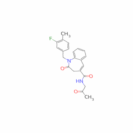 CC(=O)CNC(=O)C1=Cc2ccccc2N(Cc2ccc(C)c(F)c2)C(=O)C1